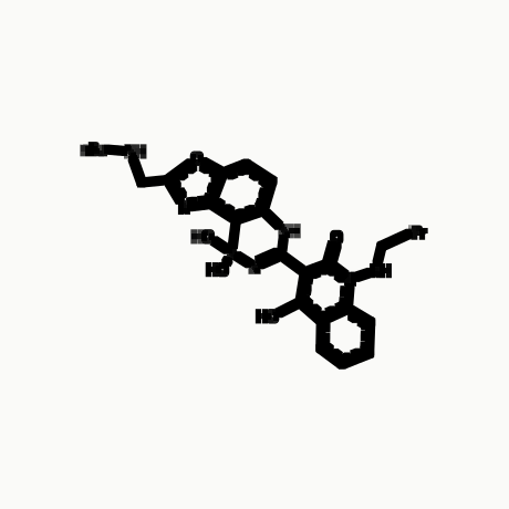 CCCCNCc1nc2c3c(ccc2o1)NC(c1c(O)c2ccccc2n(NCC(C)C)c1=O)=NS3(O)O